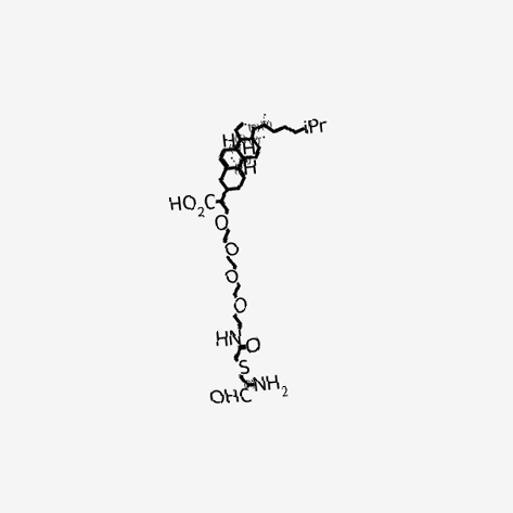 CC(C)CCC[C@@H](C)[C@H]1CC[C@H]2[C@@H]3CC=C4CC(C(COCCOCCOCCOCCNC(=O)CSC[C@H](N)C=O)C(=O)O)CC[C@]4(C)[C@H]3CC[C@]12C